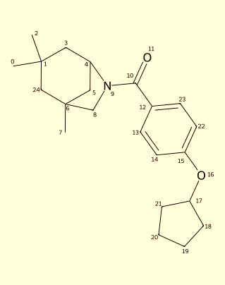 CC1(C)CC2CC(C)(CN2C(=O)c2ccc(OC3CCCC3)cc2)C1